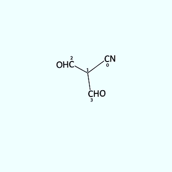 N#CC(C=O)C=O